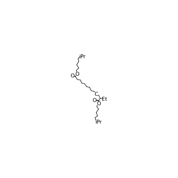 CCC(CCCCCCCCCCC(=O)OCCCCCC(C)C)C(=O)OCCCCCC(C)C